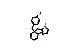 ClCC1C=CC=CC1(Cc1ccc(Cl)cc1)Cc1ncc[nH]1